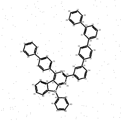 c1ccc(-c2ccc(-c3nc(-c4cccc(-c5ccc(-c6cccc(-c7ccccc7)c6)cc5)c4)nc4c3c3ccccc3n4-c3ccccc3)cc2)cc1